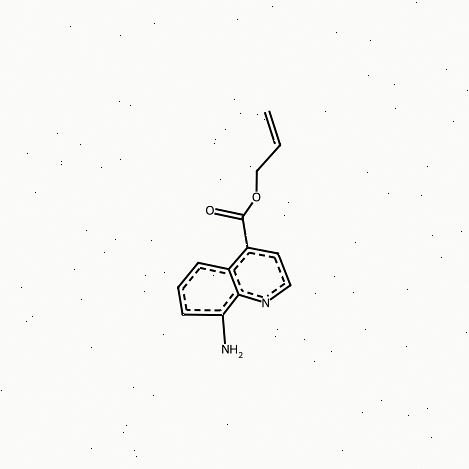 C=CCOC(=O)c1ccnc2c(N)cccc12